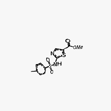 COC(=O)c1cnc(NS(=O)(=O)c2ccc(C)cc2)s1